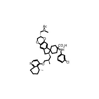 CC(=O)N(C)C[C@H]1COc2cc3c(cc2O1)C1(CCC(Nc2cccc(Cl)c2)(C(=O)O)CC1)[C@@H](C[C@@H](C)COc1ccnc2c1[C@H](C)CCC2)C3